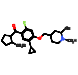 CCOC(=O)C1CCCC1C(=O)c1cc(C2CC2)c(OCC2CCN(C(=O)O)C(C(C)(C)C)C2)cc1F